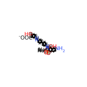 Nc1ccc2cc(S(=O)(=O)[O-])c(N=Nc3ccc(-c4ccc(N=Nc5ccc(O)c(C(=O)[O-])c5)cc4)cc3)c(O)c2c1.[Na+].[Na+]